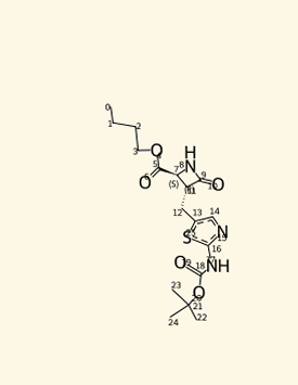 CCCCOC(=O)[C@H]1NC(=O)[C@@H]1Cc1cnc(NC(=O)OC(C)(C)C)s1